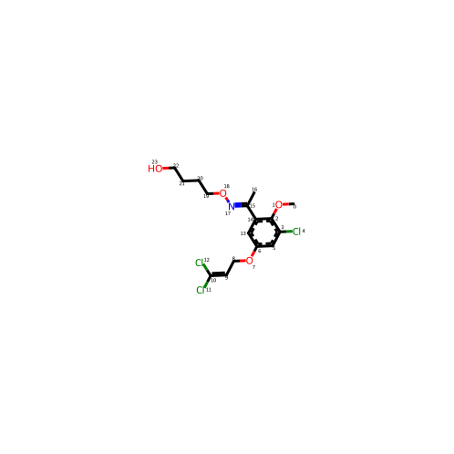 COc1c(Cl)cc(OCC=C(Cl)Cl)cc1C(C)=NOCCCCO